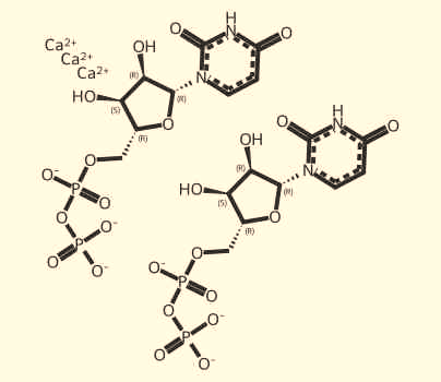 O=c1ccn([C@@H]2O[C@H](COP(=O)([O-])OP(=O)([O-])[O-])[C@@H](O)[C@H]2O)c(=O)[nH]1.O=c1ccn([C@@H]2O[C@H](COP(=O)([O-])OP(=O)([O-])[O-])[C@@H](O)[C@H]2O)c(=O)[nH]1.[Ca+2].[Ca+2].[Ca+2]